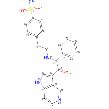 NS(=O)(=O)c1ccc(CCNC(C(=O)c2c[nH]c3ccncc23)c2ccccc2)cc1